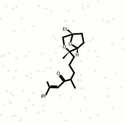 CC[C@@]12CC[C@@H](O1)[C@](C)(CCCC(C)C(=O)/C=C(\C)C(C)C)OC2